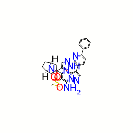 CS(=O)(=O)c1c(C2C[C@H]3CC[C@@H](C2)N3C(=O)c2cn[nH]c2)nc2c(-c3ccc(-c4ccccc4)nc3)cnn2c1N